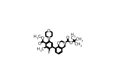 COC(=O)c1c(N2CCOCC2)cc(-c2cccc3c2OCN(C(=O)OC(C)(C)C)C3)c(F)c1C